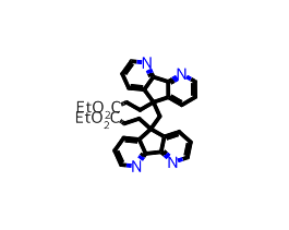 CCOC(=O)CCC1(CC2(CCC(=O)OCC)c3cccnc3-c3ncccc32)c2cccnc2-c2ncccc21